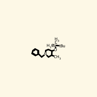 CC1CN(Cc2ccccc2)CCC1O[Si](C)(C)C(C)(C)C